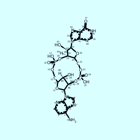 Nc1ccnc2c1ncn2C1OC2COP(=O)(O)O[C@@H]3C(COP(=O)(O)O[C@@H]1[C@@H]2O)OC(n1cnc2c(=O)[nH]cnc21)[C@@H]3O